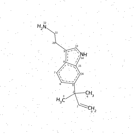 C=CC(C)(C)c1ccc2c(CCN)c[nH]c2c1